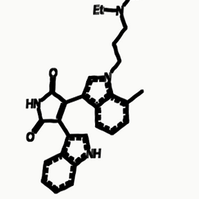 CCN(CC)CCCn1cc(C2=C(c3c[nH]c4ccccc34)C(=O)NC2=O)c2cccc(C)c21